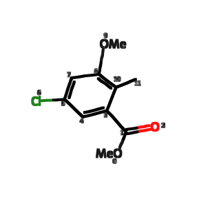 COC(=O)c1cc(Cl)cc(OC)c1C